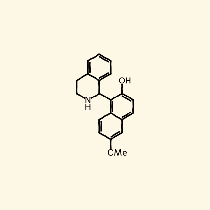 COc1ccc2c(C3NCCc4ccccc43)c(O)ccc2c1